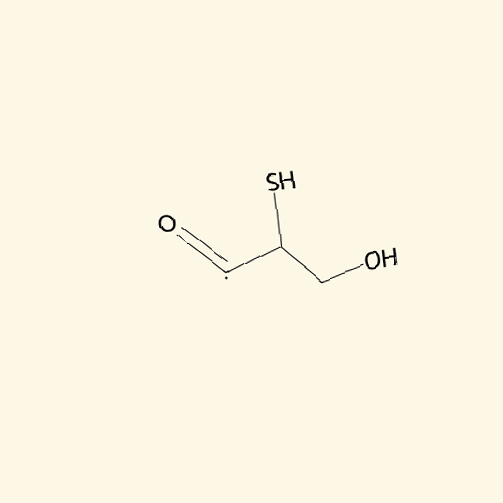 O=[C]C(S)CO